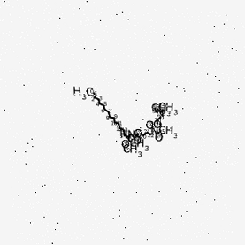 CCCCCCCCCCCCCCCC(NC(=O)OCCCN(C(C)=O)C(=O)OCCN(CC)CC)C(C)OC